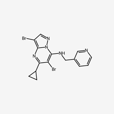 Brc1c(C2CC2)nc2c(Br)cnn2c1NCc1cccnc1